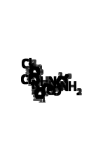 CC(C)CC(NC(=O)Cc1ccccc1N(C)Cc1ccc(Cl)cc1Cl)C(N)=O